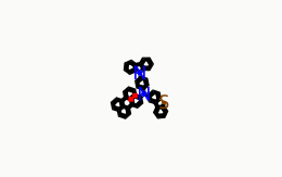 c1ccc(-c2cccc3cccc(-c4ccc(N(c5ccc(-n6c7ccccc7c7ccccc76)cc5)c5ccc6sc7ccccc7c6c5)cc4)c23)cc1